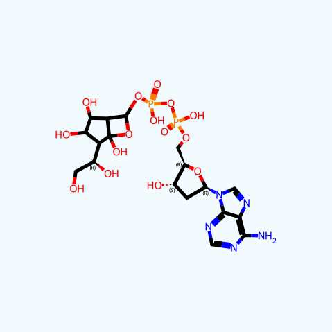 Nc1ncnc2c1ncn2[C@H]1C[C@H](O)[C@@H](COP(=O)(O)OP(=O)(O)OC2OC3(O)C2C(O)C(O)C3[C@@H](O)CO)O1